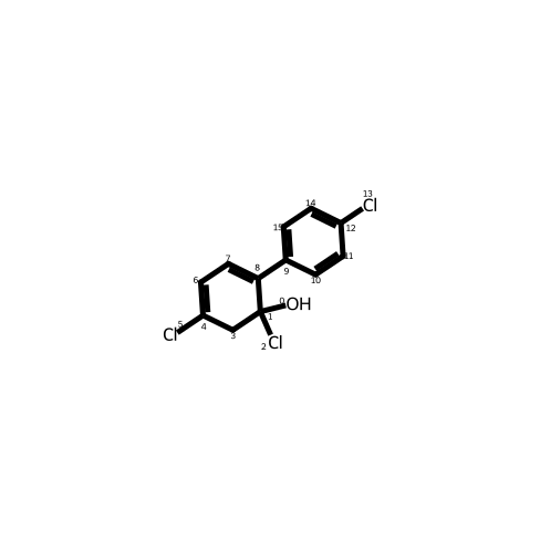 OC1(Cl)CC(Cl)=CC=C1c1ccc(Cl)cc1